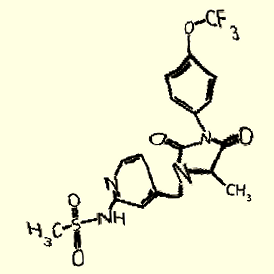 CC1C(=O)N(c2ccc(OC(F)(F)F)cc2)C(=O)N1Cc1ccnc(NS(C)(=O)=O)c1